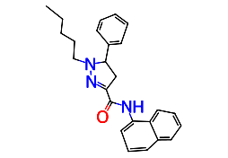 CCCCCN1N=C(C(=O)Nc2cccc3ccccc23)CC1c1ccccc1